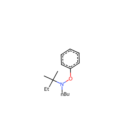 CCCCN(Oc1ccccc1)C(C)(C)CC